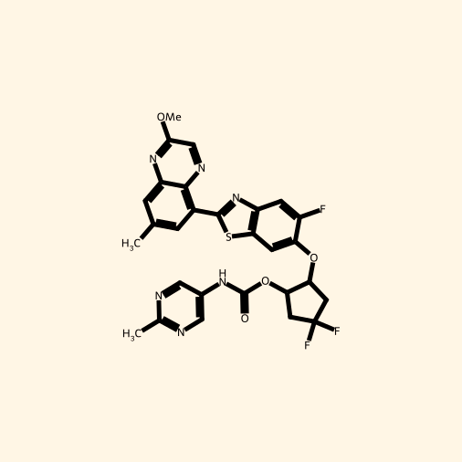 COc1cnc2c(-c3nc4cc(F)c(OC5CC(F)(F)CC5OC(=O)Nc5cnc(C)nc5)cc4s3)cc(C)cc2n1